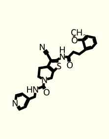 COc1ccccc1CCC(=O)Nc1sc2c(c1C#N)CCN(C(=O)NCc1ccncc1)C2